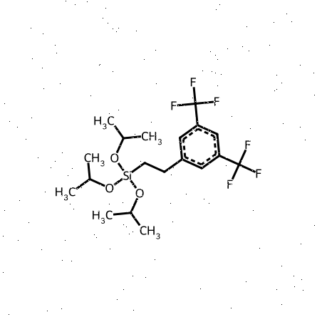 CC(C)O[Si](CCc1cc(C(F)(F)F)cc(C(F)(F)F)c1)(OC(C)C)OC(C)C